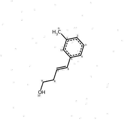 Cc1cccc(C=CCCO)c1